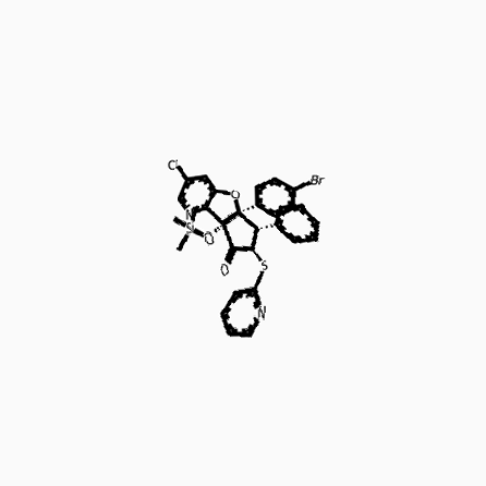 C[Si](C)(C)O[C@@]12C(=O)[C@H](Sc3ccccn3)[C@@H](c3ccccc3)[C@]1(c1ccc(Br)cc1)Oc1cc(Cl)cnc12